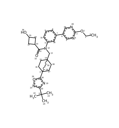 CCOc1ncc(-c2cccc(N(CC34CCC(c5nc(C(C)(C)C)no5)(CC3)CC4)C(=O)C3CC(O)C3)c2)cn1